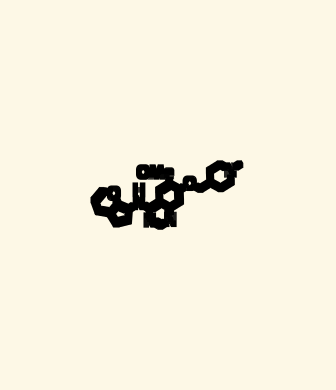 COc1cc2c(Nc3ccc4cccoc3-4)ncnc2cc1OCC1CCN(C)CC1